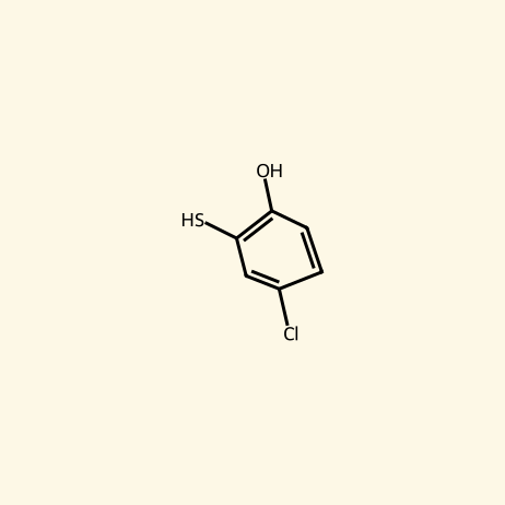 Oc1ccc(Cl)cc1S